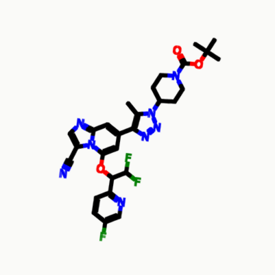 Cc1c(-c2cc(OC(c3ccc(F)cn3)C(F)F)n3c(C#N)cnc3c2)nnn1C1CCN(C(=O)OC(C)(C)C)CC1